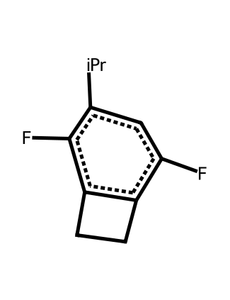 CC(C)c1cc(F)c2c(c1F)CC2